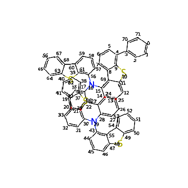 c1ccc(-c2cccc3c2sc2cccc(N(c4ccccc4-c4ccccc4N(c4cccc5c4sc4ccccc45)c4cccc5sc6ccccc6c45)c4cccc5c4sc4ccccc45)c23)cc1